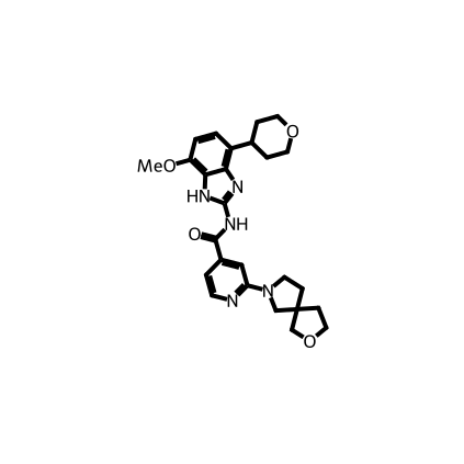 COc1ccc(C2CCOCC2)c2nc(NC(=O)c3ccnc(N4CCC5(CCOC5)C4)c3)[nH]c12